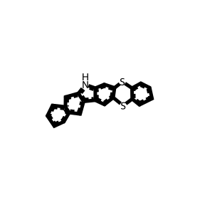 c1ccc2c(c1)Sc1cc3[nH]c4cc5ccccc5cc4c3cc1S2